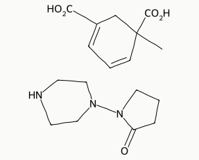 CC1(C(=O)O)C=CC=C(C(=O)O)C1.O=C1CCCN1N1CCNCC1